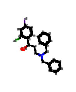 OC(CCN(Cc1ccccc1)Cc1ccccc1)c1ccc(I)cc1F